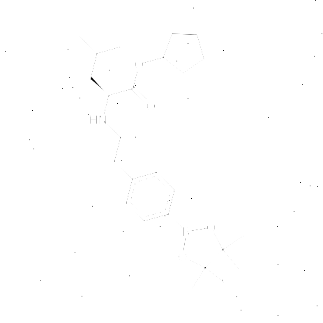 CC(C)C[C@H](NCCc1ccc(B2OC(C)(C)C(C)(C)O2)cc1)C(=O)OC1CCCC1